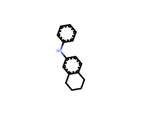 c1ccc(Nc2ccc3c(c2)CCCC3)cc1